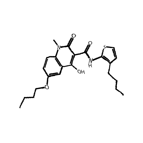 CCCCOc1ccc2c(c1)c(O)c(C(=O)Nc1sccc1CCCC)c(=O)n2C